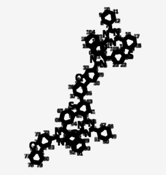 c1ccc(-c2nc(-c3ccccc3)nc(-c3cccc4sc5ccc(-c6nc(-c7ccc8c(c7)oc7ccc(-c9ccc(-c%10nc(-c%11ccccc%11)nc(-c%11ccccc%11)n%10)c%10c9sc9ccc(-c%11nc(-c%12ccc%13oc%14ccccc%14c%13c%12)nc%12c%11oc%11ccccc%11%12)cc9%10)cc78)nc7c6oc6ccccc67)cc5c34)n2)cc1